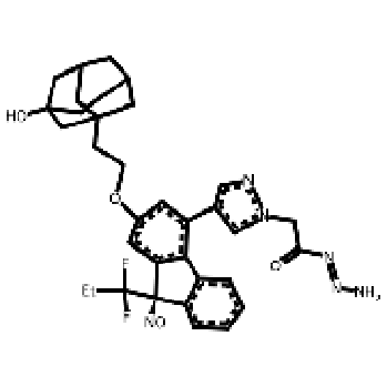 CCC(F)(F)[C@@]1(N=O)c2ccccc2-c2c(-c3cnn(CC(=O)N=NN)c3)cc(OCCC34CC5CC(CC(O)(C5)C3)C4)cc21